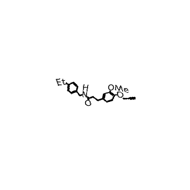 C#CCOc1ccc(CCC(=O)NCc2ccc(CC)cc2)cc1OC